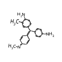 CN=C1C=CC(=C(c2ccc(N)cc2)c2ccc(N)c(C)c2)C=C1